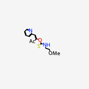 COCCNC(=S)O/C(=C/c1ccccn1)C(C)=O